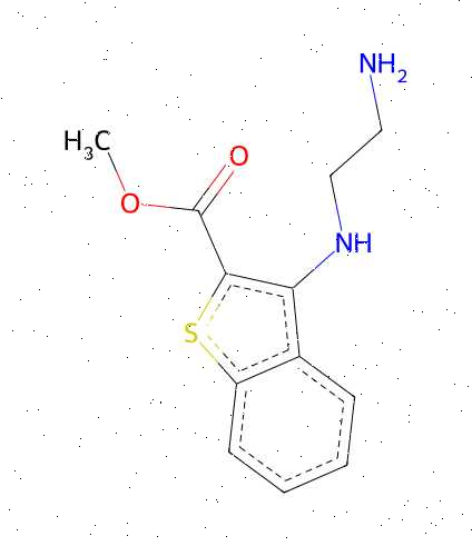 COC(=O)c1sc2ccccc2c1NCCN